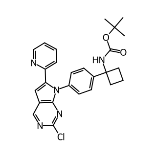 CC(C)(C)OC(=O)NC1(c2ccc(-n3c(-c4ccccn4)cc4cnc(Cl)nc43)cc2)CCC1